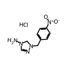 Cl.NN1C=NN(Cc2ccc([N+](=O)[O-])cc2)C1